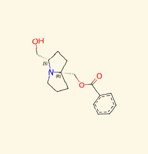 O=C(OC[C@]12CCCN1[C@H](CO)CC2)c1ccccc1